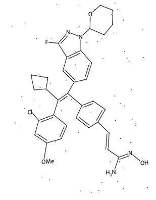 COc1ccc(C(=C(c2ccc(C=CC(N)=NO)cc2)c2ccc3c(c2)c(F)nn3C2CCCCO2)C2CCC2)c(Cl)c1